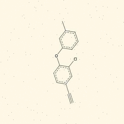 C#Cc1ccc(Oc2cccc(C)c2)c(Cl)c1